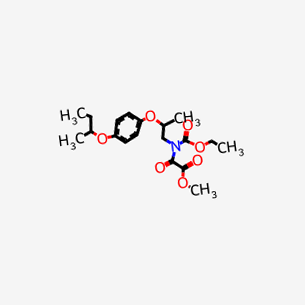 CCOC(=O)N(CC(C)Oc1ccc(OC(C)CC)cc1)C(=O)C(=O)OC